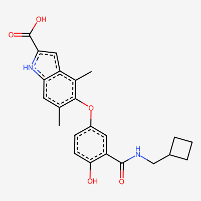 Cc1cc2[nH]c(C(=O)O)cc2c(C)c1Oc1ccc(O)c(C(=O)NCC2CCC2)c1